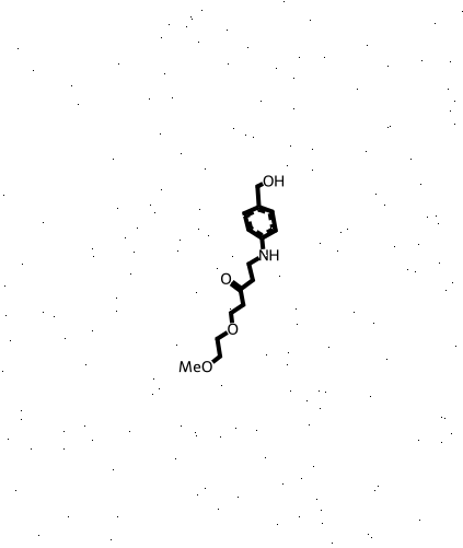 COCCOCCC(=O)CCNc1ccc(CO)cc1